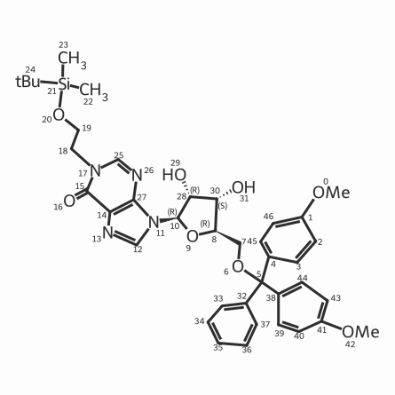 COc1ccc(C(OC[C@H]2O[C@@H](n3cnc4c(=O)n(CCO[Si](C)(C)C(C)(C)C)cnc43)[C@H](O)[C@@H]2O)(c2ccccc2)c2ccc(OC)cc2)cc1